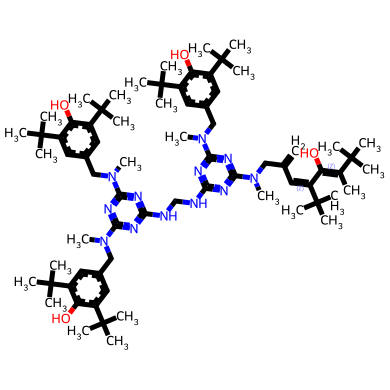 C=C(/C=C(\C(O)=C(/C)C(C)(C)C)C(C)(C)C)CN(C)c1nc(NCNc2nc(N(C)Cc3cc(C(C)(C)C)c(O)c(C(C)(C)C)c3)nc(N(C)Cc3cc(C(C)(C)C)c(O)c(C(C)(C)C)c3)n2)nc(N(C)Cc2cc(C(C)(C)C)c(O)c(C(C)(C)C)c2)n1